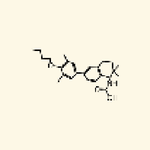 CCCCOc1c(C)cc(-c2ccc3c(c2)CCC(C)(C)C3NC(=O)O)cc1C